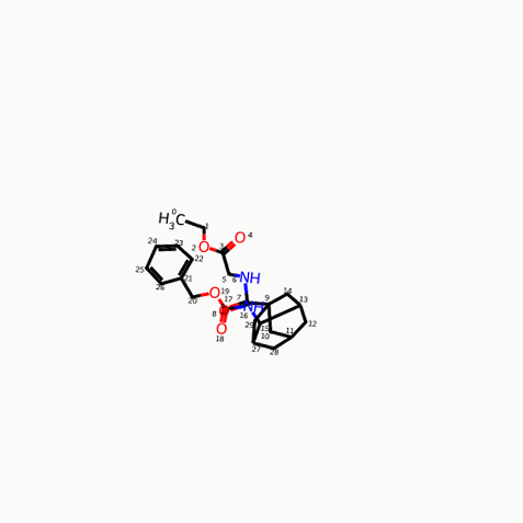 CCOC(=O)CNC(=O)C12CC3CC(C1)C(NC(=O)OCc1ccccc1)C(C3)C2